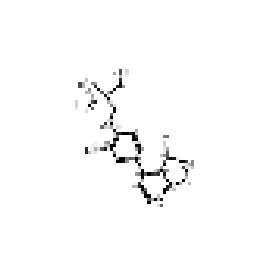 CC(C)C[C@](C)(N)COc1ccc(-c2ccnc3c2C(=O)NC3)cc1C#N